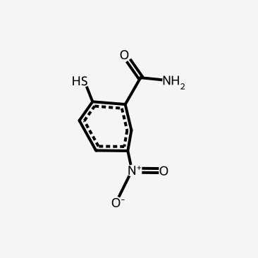 NC(=O)c1cc([N+](=O)[O-])ccc1S